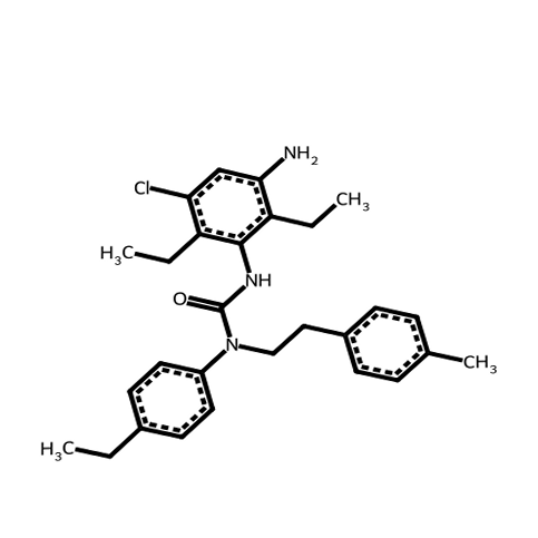 CCc1ccc(N(CCc2ccc(C)cc2)C(=O)Nc2c(CC)c(N)cc(Cl)c2CC)cc1